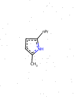 CCCc1ccc(C)[nH]1